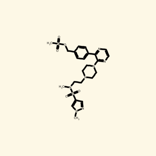 CN(CCN1CCN(c2nccnc2-c2ccc(COS(C)(=O)=O)cc2)CC1)S(=O)(=O)c1cnn(C)c1